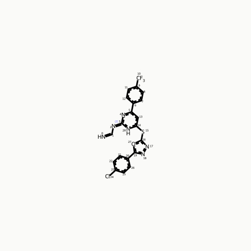 N=C/N=c1/nc(-c2ccc(C(F)(F)F)cc2)cc(Sc2nnc(-c3ccc(Cl)cc3)o2)[nH]1